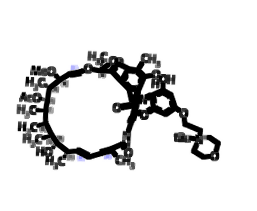 CO[C@H]1/C=C/O[C@@]2(C)Oc3c(C)c(O)c4c(=O)c(c5oc6cc(OCC[N+]7(C(C)(C)C)CCOCC7)cc(O)c6nc-5c4c3C2=O)NC(=O)/C(C)=C\C=C\[C@H](C)[C@H](O)[C@@H](C)[C@@H](C)[C@@H](C)[C@H](OC(C)=O)[C@@H]1C